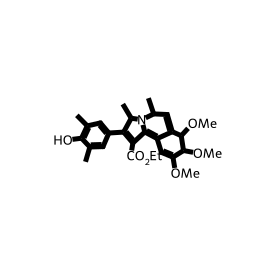 CCOC(=O)C1=C(c2cc(C)c(O)c(C)c2)C(C)N2C1=C1C=C(OC)C(OC)C(OC)C1=CC2C